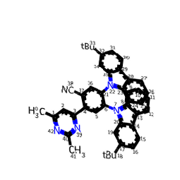 Cc1cc(-c2cc(-n3c4ccccc4c4ccc(C(C)(C)C)cc43)c(-n3c4ccccc4c4ccc(C(C)(C)C)cc43)cc2C#N)nc(C)n1